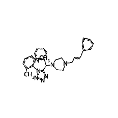 Cc1cccc(C)c1-n1nnnc1[C@@H](c1ccccn1)N1CCN(C/C=C/c2ccccc2)CC1